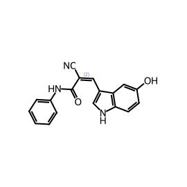 N#C/C(=C/c1c[nH]c2ccc(O)cc12)C(=O)Nc1ccccc1